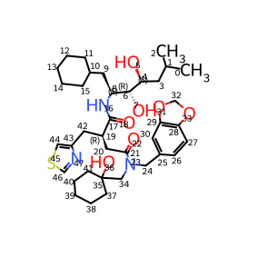 CC(C)C[C@H](O)[C@H](O)[C@H](CC1CCCCC1)NC(=O)[C@@H](CC(=O)N(Cc1ccc2c(c1)OCO2)CC1(O)CCCCC1)Cc1cscn1